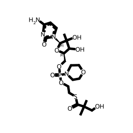 CC(C)(CO)C(=O)SCCOP(=O)(OC[C@H]1O[C@@H](n2ccc(N)nc2=O)C(C)(O)C1O)N1CCOCC1